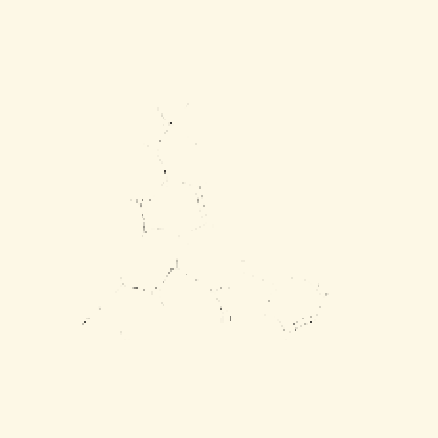 Fc1ccc2[nH]c(C(OCC(F)(F)F)c3ccc(OC(F)(F)F)cc3)nc2c1